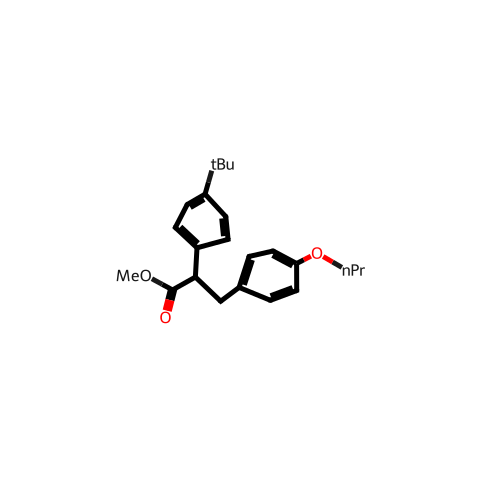 CCCOc1ccc(CC(C(=O)OC)c2ccc(C(C)(C)C)cc2)cc1